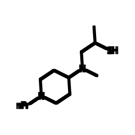 CCCN1CCC(N(C)CC(C)S)CC1